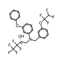 O[C@H](CN(Cc1cccc(OC(F)(F)C(F)F)c1)c1cccc(Oc2ccccc2)c1)C(F)(F)C(F)(F)F